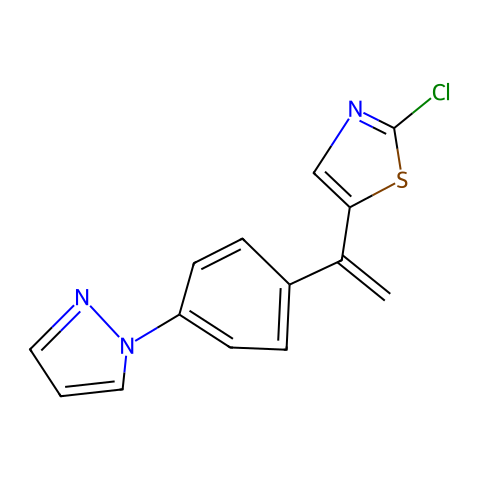 C=C(c1ccc(-n2cccn2)cc1)c1cnc(Cl)s1